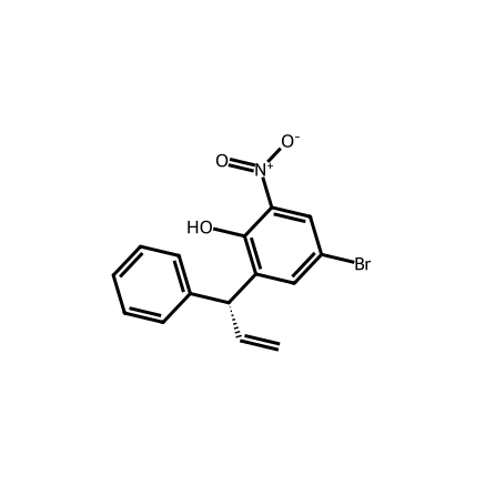 C=C[C@H](c1ccccc1)c1cc(Br)cc([N+](=O)[O-])c1O